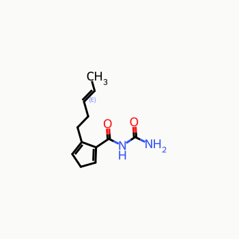 C/C=C/CCC1=CCC=C1C(=O)NC(N)=O